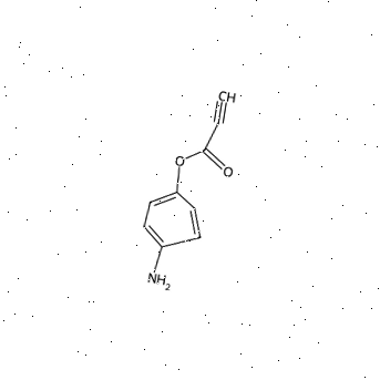 C#CC(=O)Oc1ccc(N)cc1